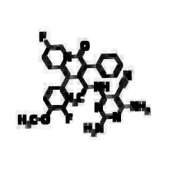 COc1ccc(-c2c([C@H](C)Nc3nc(N)nc(N)c3C#N)c(-c3ccccc3)c(=O)n3cc(F)ccc23)cc1F